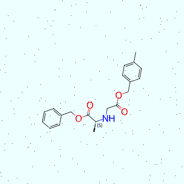 Cc1ccc(COC(=O)CN[C@@H](C)C(=O)OCc2ccccc2)cc1